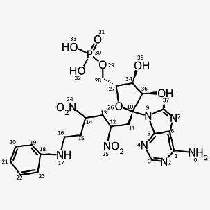 Nc1ncnc2c1ncn2[C@]1(CC(CC(CCNc2ccccc2)[N+](=O)[O-])[N+](=O)[O-])O[C@H](COP(=O)(O)O)[C@@H](O)[C@H]1O